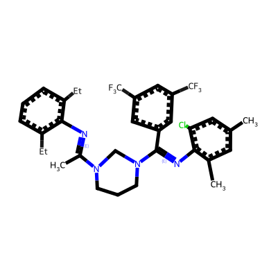 CCc1cccc(CC)c1/N=C(\C)N1CCCN(/C(=N/c2c(C)cc(C)cc2Cl)c2cc(C(F)(F)F)cc(C(F)(F)F)c2)C1